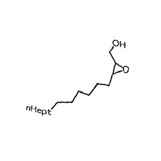 CCCCCCCCCCCCCC1OC1CO